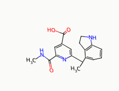 CNC(=O)c1cc(C(=O)O)cc(C(C)c2cccc3c2CCN3)n1